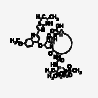 COc1ccc2c(OC3C[C@H]4C(=O)N[C@]5(C(=O)O)CC5CCCCCCC[C@H](NC(=O)N[C@H](CN(C)S(C)(=O)=O)C(C)(C)C)C(=O)N4C3)cc(-c3csc(NC(C)C)n3)nc2c1